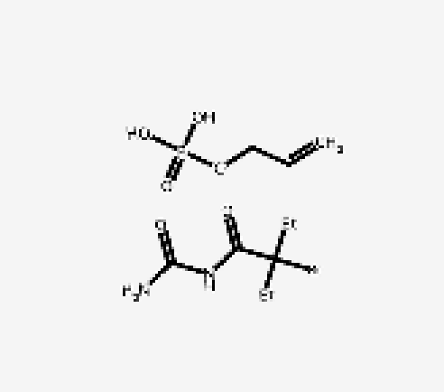 C=CCOP(=O)(O)O.CCC(Br)(CC)C(=O)NC(N)=O